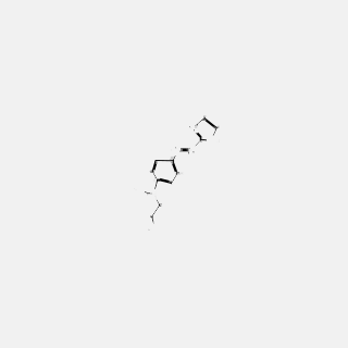 [CH2]CCN(C)c1ccc(N=Nc2nccs2)cc1